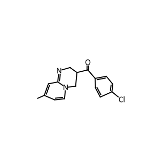 CC1=CC2=NCC(C(=O)c3ccc(Cl)cc3)CN2C=C1